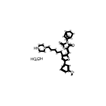 COc1cccc(-c2cc(CCCCCN3CCNCC3)c(C=C3SC(=S)N(C4CC5CCC4C5)C3=O)s2)c1.Cl.Cl